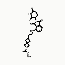 CC(C)(C)OC(=O)N1CC2(CC(CCNc3cccc4c3C(=O)N(C3CCC(=O)NC3=O)C4=O)C2)C1